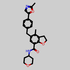 Cc1ncc(-c2ccc(Cc3cc(C(=O)NC4CCOCC4)c4c(c3C)CCO4)cc2)o1